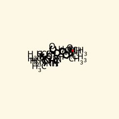 CC(C)NC(=O)c1ncnn1[C@@H]1C[C@@]23COC[C@](C)(C2CC[C@H]2C3=CC[C@@]3(C)[C@H](C(=O)O)[C@@](C)([C@H](C)C(C)C)CC[C@]23C)[C@H]1OC[C@](C)(N)C(C)(C)C